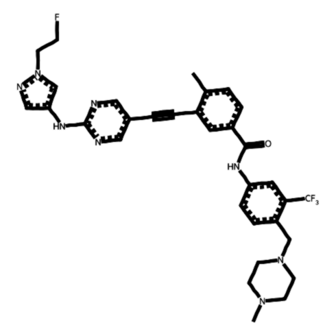 Cc1ccc(C(=O)Nc2ccc(CN3CCN(C)CC3)c(C(F)(F)F)c2)cc1C#Cc1cnc(Nc2cnn(CCF)c2)nc1